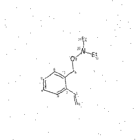 C=Cc1ccccc1CON(CC)CC